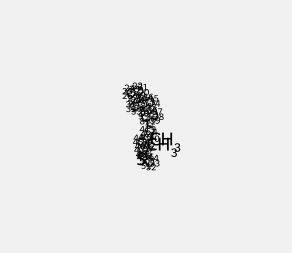 CC1(C)c2ccc(-c3ccc(-c4c5ccccc5c(-c5cccc6ccccc56)c5ccccc45)c4ccccc34)cc2-c2ccc3cc4sc5ccccc5c4cc3c21